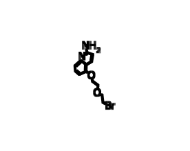 Nc1ccc2c(OCCOCCBr)cccc2n1